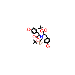 COc1ccc(CC(C(=O)OC(C)(C)C)N(CCBr)C(Cc2ccc(OC)cc2)C(=O)OC(C)(C)C)cc1